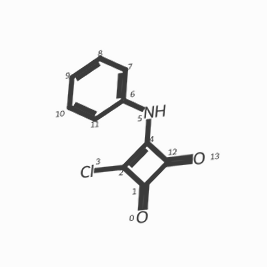 O=c1c(Cl)c(Nc2ccccc2)c1=O